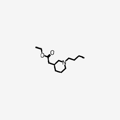 CCCCN1CCCC(CC(=O)OCC)C1